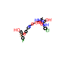 CC(C)(C)C(NC(=O)COCCOCCN1CCC(c2ccc(Oc3c(-c4ccc(F)cc4)sc4cc(O)ccc34)cc2)CC1)C(=O)N1C[C@H](O)C[C@H]1C(=O)NCc1ccc(Cl)cc1